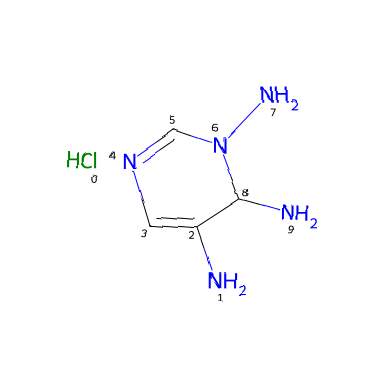 Cl.NC1=CN=CN(N)C1N